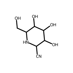 N#CC1NC(CO)C(O)C(O)C1O